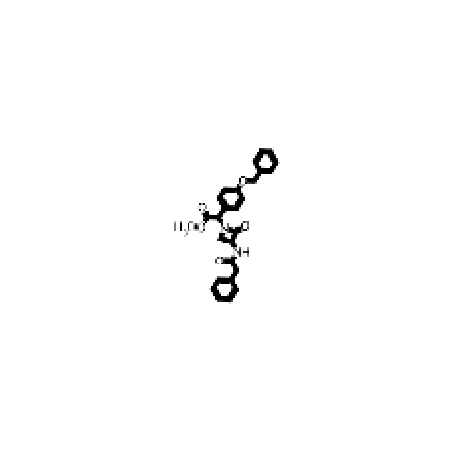 COC(=O)C(c1ccc(OCc2ccccc2)cc1)N1CC(NC(=O)Cc2ccccc2)C1=O